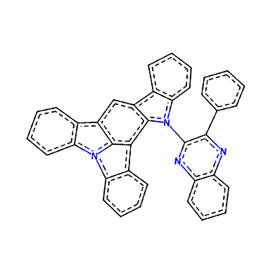 c1ccc(-c2nc3ccccc3nc2-n2c3ccccc3c3cc4c5ccccc5n5c6ccccc6c(c32)c45)cc1